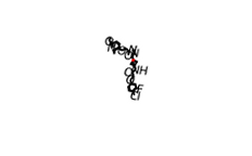 COc1ccc(OCc2nnc(C34CC(NC(=O)COc5ccc(Cl)c(F)c5)(C3)C4)o2)c(C)n1